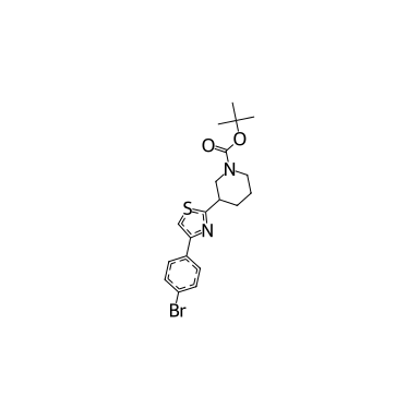 CC(C)(C)OC(=O)N1CCCC(c2nc(-c3ccc(Br)cc3)cs2)C1